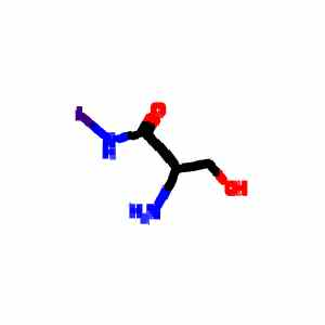 NC(CO)C(=O)NI